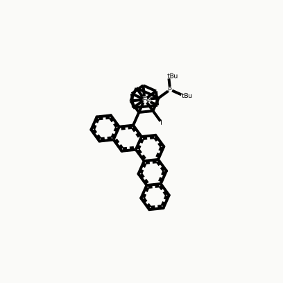 CC(C)(C)P(C(C)(C)C)[C]12[CH]3[CH]4[C]5(c6c7ccccc7cc7c6ccc6cc8ccccc8cc67)[C]1(I)[Fe]43521678[CH]2[CH]1[CH]6[CH]7[CH]28